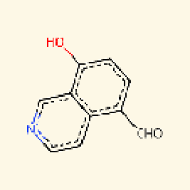 O=Cc1ccc(O)c2cnccc12